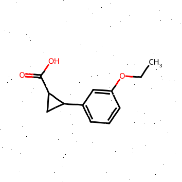 CCOc1cccc(C2CC2C(=O)O)c1